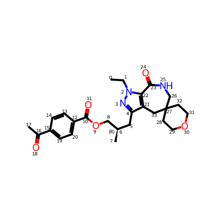 CCn1nc(C[C@@H](C)COC(=O)c2ccc(C(C)=O)cc2)c2c1C(=O)NCC1(CCOCC1)C2